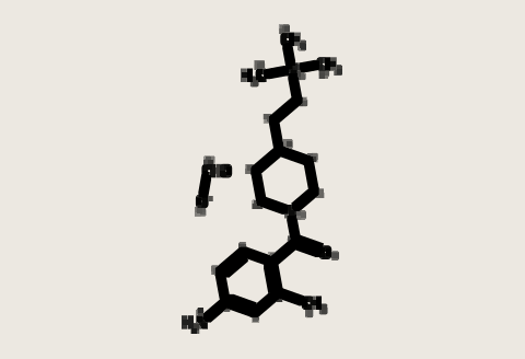 Cc1cc(N)ccc1C(=O)N1CCC(CC[N+](C)(C)C)CC1.O=C[O-]